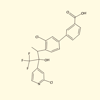 CC(c1ccc(-c2cccc(C(=O)O)c2)cc1Cl)C(O)(c1ccnc(Cl)c1)C(F)(F)F